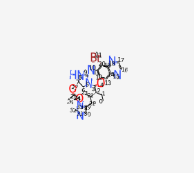 CC[C@H](C(=O)N1CCN/C1=N/c1ccc2nccnc2c1Br)C(COC(C)=O)Cc1cncn1C